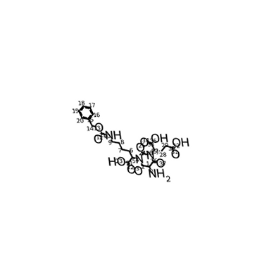 NC1C(=O)N(C(CCCCNC(=O)OCc2ccccc2)C(=O)O)C(=O)N([C@@H](CCC(=O)O)C(=O)O)C1=O